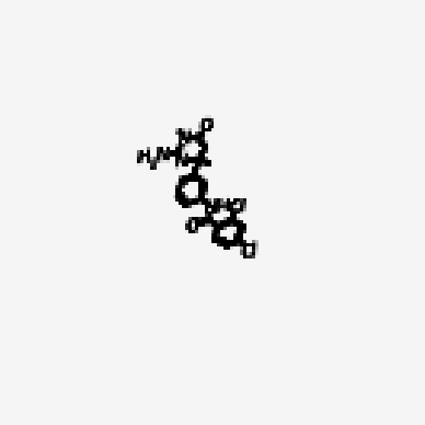 CN1C(=O)CC(C)(c2cccc(NC(=O)c3ccc(Cl)cc3Cl)c2)N=C1N